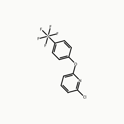 FS(F)(F)(F)(F)c1ccc(Oc2cc[c]c(Cl)n2)cc1